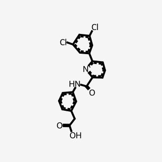 O=C(O)Cc1cccc(NC(=O)c2cccc(-c3cc(Cl)cc(Cl)c3)n2)c1